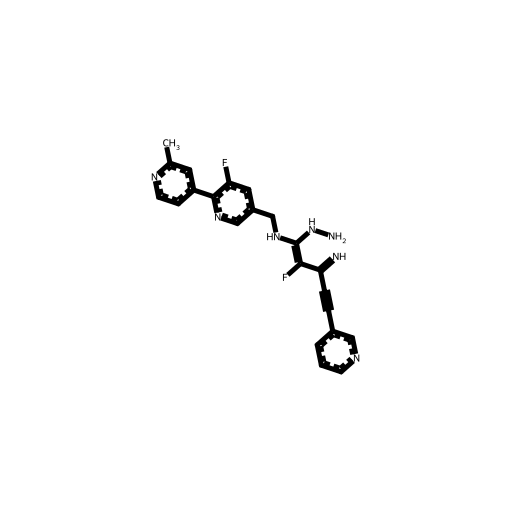 Cc1cc(-c2ncc(CN/C(NN)=C(\F)C(=N)C#Cc3cccnc3)cc2F)ccn1